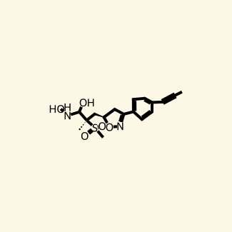 CC#Cc1ccc(C2=NO[C@@H](C[C@](C)(C(O)NO)S(C)(=O)=O)C2)cc1